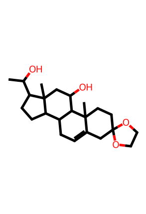 CC(O)C1CCC2C3CC=C4CC5(CCC4(C)C3C(O)CC12C)OCCO5